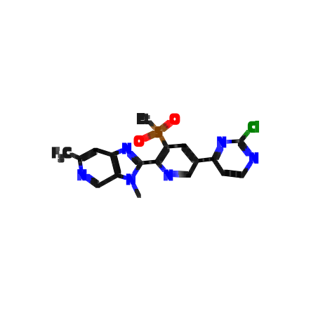 CCS(=O)(=O)c1cc(-c2ccnc(Cl)n2)cnc1-c1nc2cc(C(F)(F)F)ncc2n1C